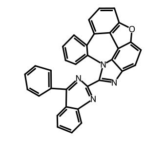 c1ccc(-c2nc(-c3nc4ccc5oc6cccc7c8ccccc8n3c4c5c67)nc3ccccc23)cc1